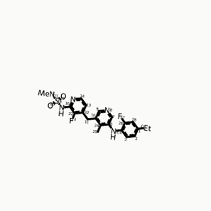 CCc1ccc(Nc2cncc(Cc3ccnc(NS(=O)(=O)NC)c3F)c2C)c(F)c1